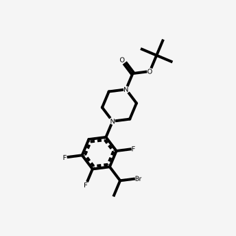 CC(Br)c1c(F)c(F)cc(N2CCN(C(=O)OC(C)(C)C)CC2)c1F